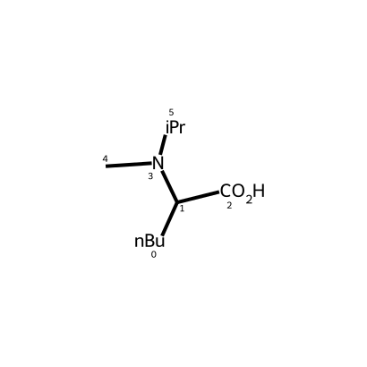 CCCCC(C(=O)O)N(C)C(C)C